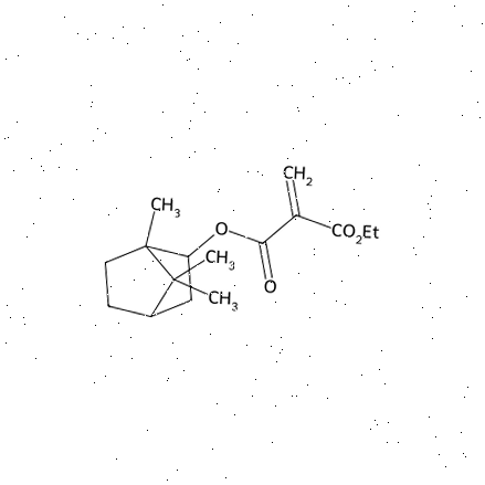 C=C(C(=O)OCC)C(=O)OC1CC2CCC1(C)C2(C)C